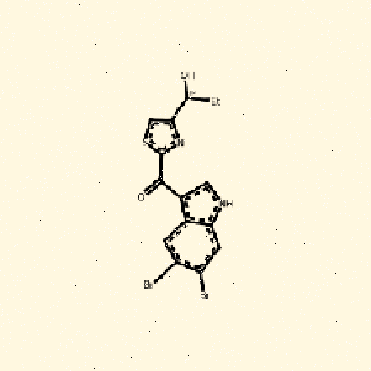 CC[C@H](O)c1csc(C(=O)c2c[nH]c3cc(Br)c(Br)cc23)n1